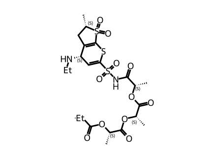 C[CH]C(=O)O[C@@H](C)C(=O)O[C@@H](C)C(=O)O[C@@H](C)C(=O)NS(=O)(=O)C1=C[C@H](NCC)C2=C(S1)S(=O)(=O)[C@@H](C)C2